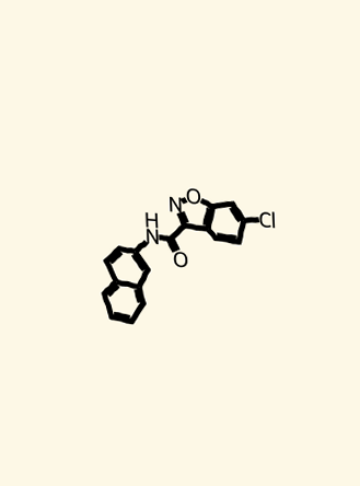 O=C(Nc1ccc2ccccc2c1)c1noc2cc(Cl)ccc12